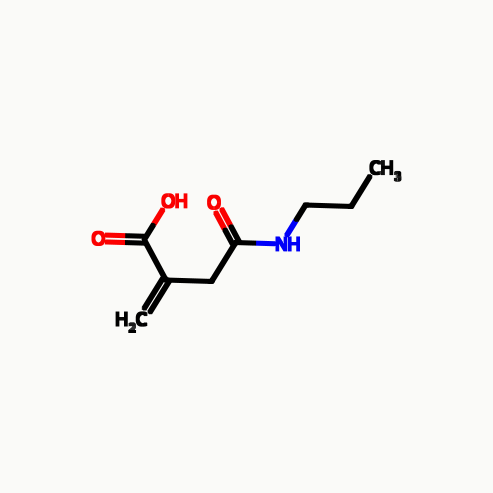 C=C(CC(=O)NCCC)C(=O)O